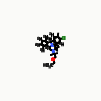 [2H]c1c([2H])c([2H])c([C@]([2H])(c2c([2H])c([2H])c(Cl)c(C)c2[2H])N2CCN(C(C)(C)COCC(=O)O)C(C)(C)C2(C)C)c([2H])c1[2H]